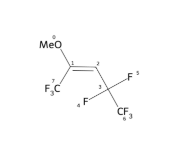 COC(=CC(F)(F)C(F)(F)F)C(F)(F)F